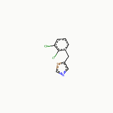 Clc1cccc(Cc2cn[c]s2)c1Cl